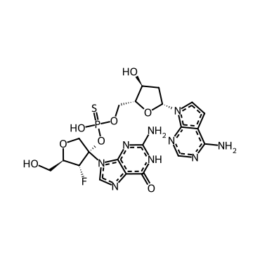 Nc1nc2c(ncn2[C@]2(OP(O)(=S)OC[C@H]3O[C@@H](n4ccc5c(N)ncnc54)C[C@@H]3O)CO[C@H](CO)[C@H]2F)c(=O)[nH]1